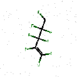 FCC(F)(F)C(F)(F)/C(F)=C(\F)Cl